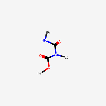 CCN(C(=O)NC(C)C)C(=O)OC(C)C